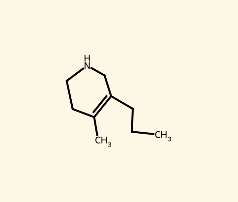 CCCC1=C(C)CCNC1